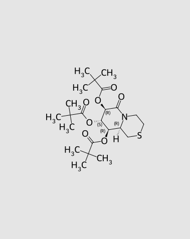 CC(C)(C)C(=O)O[C@H]1[C@H](OC(=O)C(C)(C)C)[C@@H]2CSCCN2C(=O)[C@@H]1OC(=O)C(C)(C)C